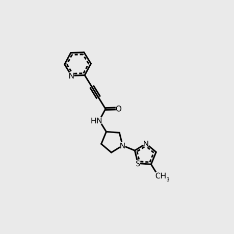 Cc1cnc(N2CCC(NC(=O)C#Cc3ccccn3)C2)s1